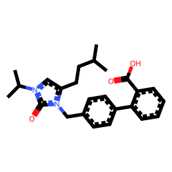 CC(C)CCc1cn(C(C)C)c(=O)n1Cc1ccc(-c2ccccc2C(=O)O)cc1